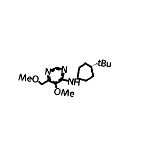 COCc1ncnc(N[C@H]2CC[C@@H](C(C)(C)C)CC2)c1OC